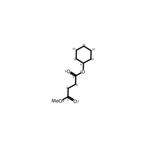 COC(=O)CCC(=O)OC1CCCCC1